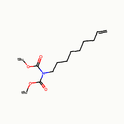 C=CCCCCCCCN(C(=O)OC(C)(C)C)C(=O)OC(C)(C)C